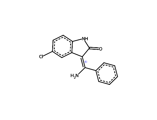 N/C(=C1/C(=O)Nc2ccc(Cl)cc21)c1ccccc1